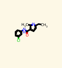 CCc1ccc(C(=O)Nc2cccc(Cl)c2)c(C)n1